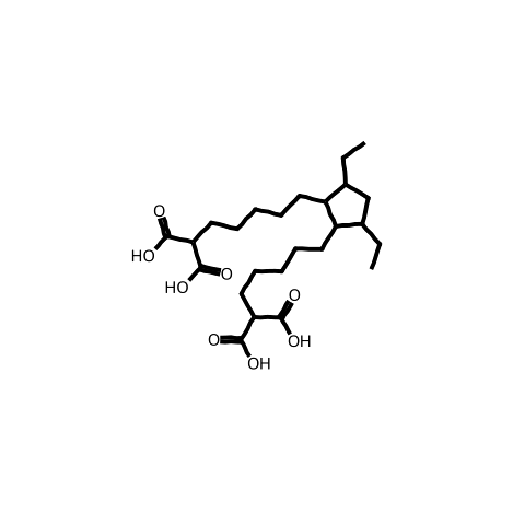 CCC1CC(CC)C(CCCCCC(C(=O)O)C(=O)O)C1CCCCCC(C(=O)O)C(=O)O